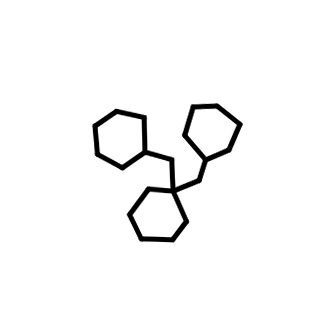 C1CCC(CC2(CC3CCCCC3)CCCCC2)CC1